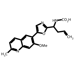 C=CCC(NC(=O)O)c1ncc(-c2cc3ccc(C)nc3cc2OC)o1